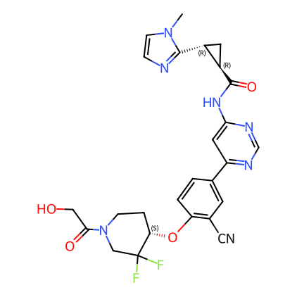 Cn1ccnc1[C@@H]1C[C@H]1C(=O)Nc1cc(-c2ccc(O[C@H]3CCN(C(=O)CO)CC3(F)F)c(C#N)c2)ncn1